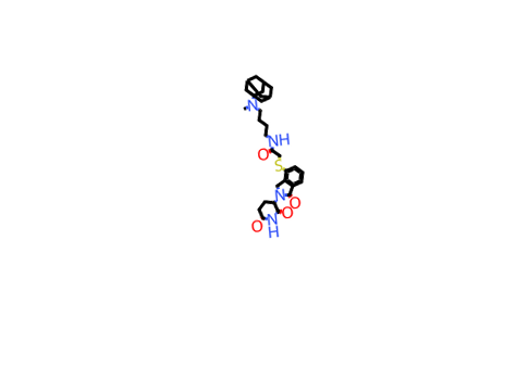 CN(CCCCNC(=O)CSc1cccc2c1CN(C1CCC(=O)NC1=O)C2=O)C12CC3CC(CC(C3)C1)C2